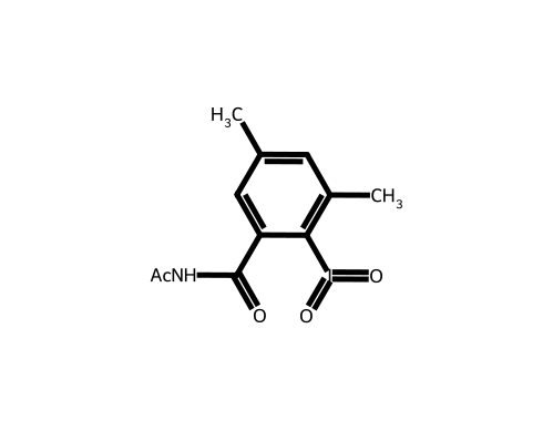 CC(=O)NC(=O)c1cc(C)cc(C)c1I(=O)=O